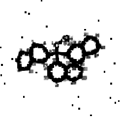 [SiH3]OC(c1ccc2ccccc2c1)(c1ccc2ccccc2c1)c1cccc2ccccc12